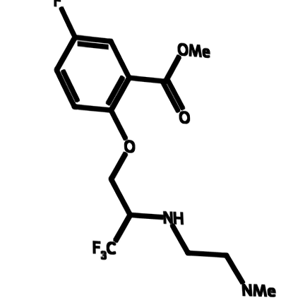 CNCCNC(COc1ccc(F)cc1C(=O)OC)C(F)(F)F